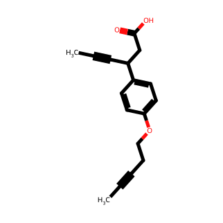 CC#CCCOc1ccc(C(C#CC)CC(=O)O)cc1